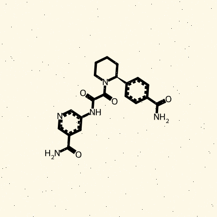 NC(=O)c1ccc([C@@H]2CCCCN2C(=O)C(=O)Nc2cncc(C(N)=O)c2)cc1